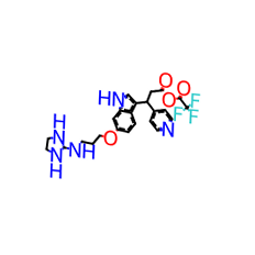 O=C(CC(c1ccncc1)c1c[nH]c2cc(OCCCNC3NCCN3)ccc12)OC(=O)C(F)(F)F